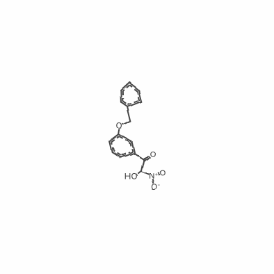 O=C(c1cccc(OCc2ccccc2)c1)C(O)[N+](=O)[O-]